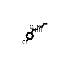 CCC=NNC(=O)c1ccc(Cl)cc1